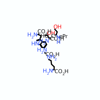 CC(O)C(N)C(=O)O.CCCNC(CCO)C(=O)O.NC(Cc1c[nH]c2ccccc12)C(=O)O.NCC(=O)O.NCCCCC(N)C(=O)O